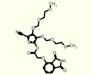 COCCOCOc1c(C#N)sc(OC(=O)COc2cccc3c2C(=O)NC3=O)c1OCOCCOC